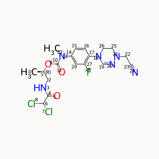 C[C@H](CNC(=O)C(Cl)Cl)OC(=O)N(C)c1ccc(N2C=NN(CC#N)CC2)c(F)c1